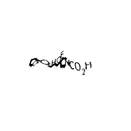 O=C(O)N1CCC(O)(CCCOC2CCCCO2)C(F)C1